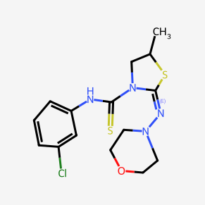 CC1CN(C(=S)Nc2cccc(Cl)c2)/C(=N\N2CCOCC2)S1